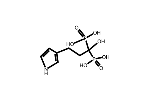 O=P(O)(O)C(O)(CCc1cc[nH]c1)P(=O)(O)O